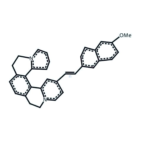 COc1ccc2cc(/C=C/c3cc[n+]4c(c3)-c3c(ccc5c3-c3cccc[n+]3CC5)CC4)ccc2c1